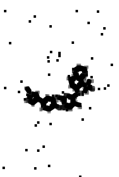 COc1cnc(-c2cnn(C)c2)cc1Nc1ncc(C)c(Nc2ccc3nccnc3c2P(C)(C)=O)n1